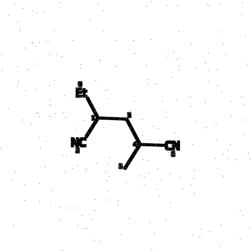 CCC(C#N)CC(C)C#N